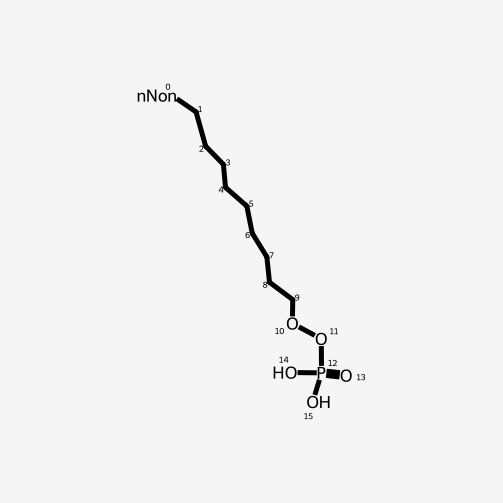 CCCCCCCCCCCCCCCCCCOOP(=O)(O)O